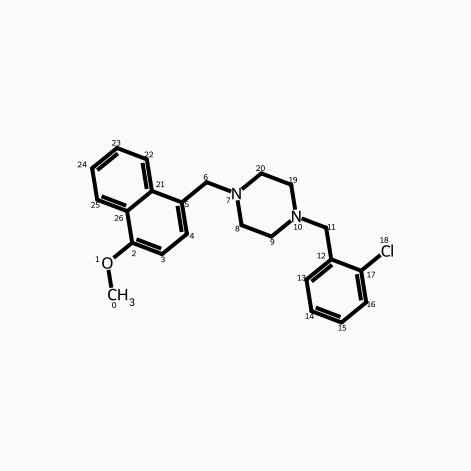 COc1ccc(CN2CCN(Cc3ccccc3Cl)CC2)c2ccccc12